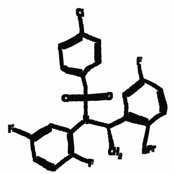 [CH2]CCc1ccc(F)cc1[C@@H](C)N(c1cc(F)ccc1F)S(=O)(=O)c1ccc(Cl)cc1